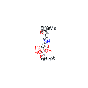 CCCCCCCOCC(O)C(O)C(O)C(=O)CNCCCCC(NC)C(=O)OC